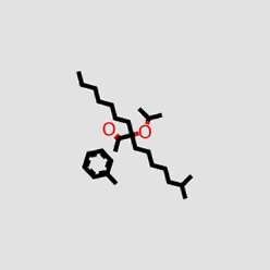 CCCCCCCC(CCCCCC(C)C)(OC(C)C)C(C)=O.Cc1ccccc1